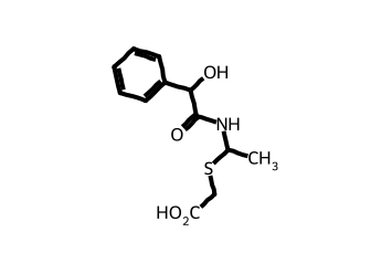 CC(NC(=O)C(O)c1ccccc1)SCC(=O)O